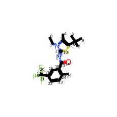 CCn1c(C)c(C(C)(C)C)s/c1=N\C(=O)c1cc(C(F)(F)F)ccc1C